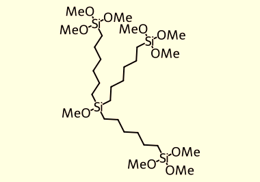 CO[Si](CCCCCC[Si](OC)(OC)OC)(CCCCCC[Si](OC)(OC)OC)CCCCCC[Si](OC)(OC)OC